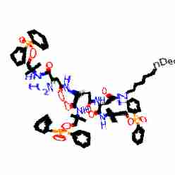 CCCCCCCCCCCCCCCCNC(=O)C[C@H](NC(=O)C[C@H](NC(=O)C[C@H](N)C(=O)NC(C)(C)COP(=O)(c1ccccc1)c1ccccc1)C(=O)NC(C)(C)COP(=O)(c1ccccc1)c1ccccc1)C(=O)NC(C)(C)COP(=O)(c1ccccc1)c1ccccc1